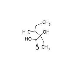 CCC(C)C(O)(CC)C(=O)O